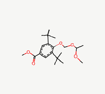 COC(=O)c1cc(C(C)(C)C)c(OCOC(C)OC)c(C(C)(C)C)c1